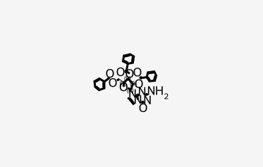 Nc1nc(=O)n2ccn([C@@H]3O[C@H](COC(=O)c4ccccc4)[C@@H](OC(=O)c4ccccc4)[C@H]3OC(=O)c3ccccc3)c2n1